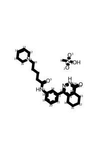 CS(=O)(=O)O.O=C(CCCCN1CC=CCC1)Nc1cccc(-c2n[nH]c(=O)c3c2CCCC3)c1